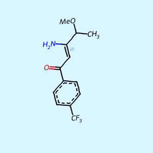 COC(C)/C(N)=C/C(=O)c1ccc(C(F)(F)F)cc1